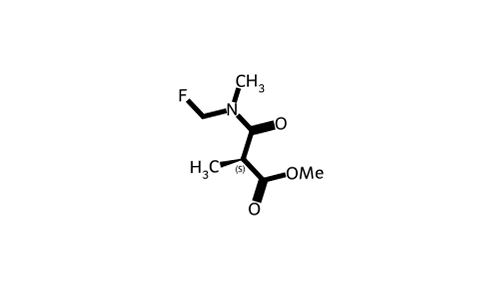 COC(=O)[C@@H](C)C(=O)N(C)CF